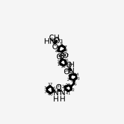 CNC(=O)Oc1cccc(S(=O)(=O)c2cccc(OC(=O)Nc3ccc(Cc4ccc(NC(=O)Nc5ccccc5)cc4)cc3)c2)c1